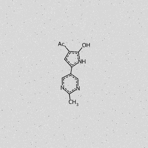 CC(=O)c1cc(-c2cnc(C)nc2)[nH]c1O